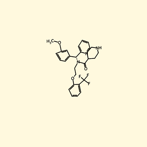 COc1cccc([C@H](c2ccccn2)N(CCOc2ccccc2C(F)(F)F)C(=O)C2CCNCC2)c1